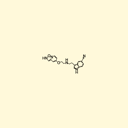 N#Cc1ccc2[nH]cc(CCNCCOC3=CC4=CNON4C=C3)c2c1